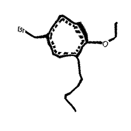 CCCc1cc(Br)ccc1OC